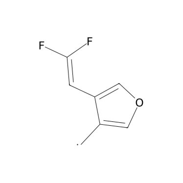 [CH2]c1cocc1C=C(F)F